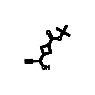 C#CC(O)C1CN(C(=O)OC(C)(C)C)C1